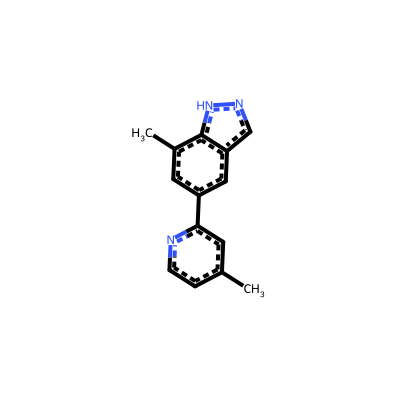 Cc1ccnc(-c2cc(C)c3[nH]ncc3c2)c1